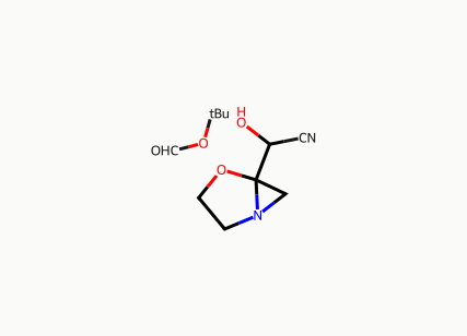 CC(C)(C)OC=O.N#CC(O)C12CN1CCO2